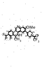 COc1cc2nccc(NC(C)c3cccc(C(F)F)c3F)c2cc1C1=CCN(C(=O)C(F)(F)F)CC1